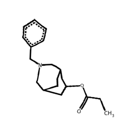 CCC(=O)OC1CC2CC1CN(Cc1ccccc1)C2